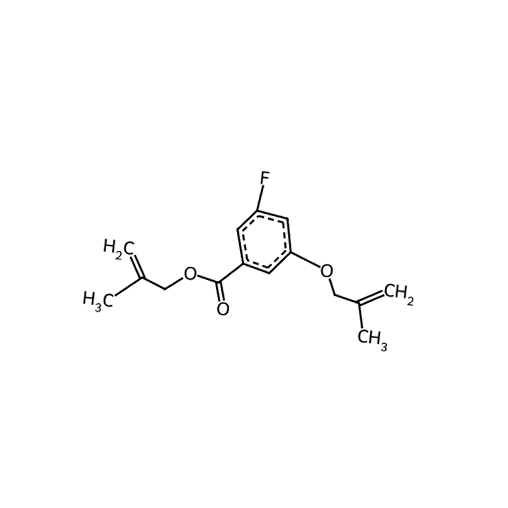 C=C(C)COC(=O)c1cc(F)cc(OCC(=C)C)c1